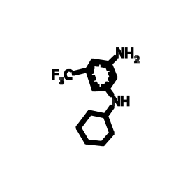 Nc1cc(NC2CCCCC2)cc(C(F)(F)F)c1